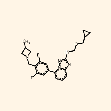 CC1CN(Cc2c(F)cc(-c3cccc4nc(NCOCC5CC5)nn34)cc2F)C1